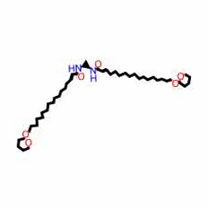 O=C(/C=C/CCCCCCCCCCCCCCOC1CCCCO1)N[C@H]1C[C@H]1NC(=O)/C=C/CCCCCCCCCCCCCCOC1CCCCO1